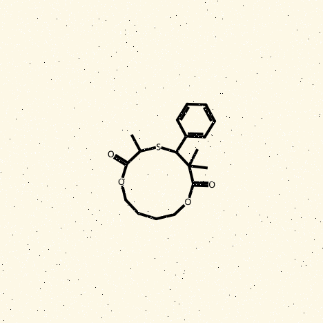 CC1SC(c2ccccc2)C(C)(C)C(=O)OCCCCOC1=O